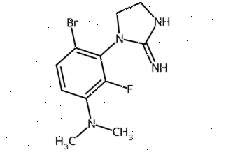 CN(C)c1ccc(Br)c(N2CCNC2=N)c1F